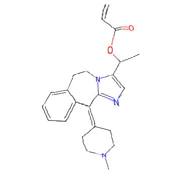 C=CC(=O)OC(C)c1cnc2n1CCc1ccccc1C2=C1CCN(C)CC1